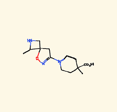 CC1NCC12CC(N1CCC(C)(C(=O)O)CC1)=NO2